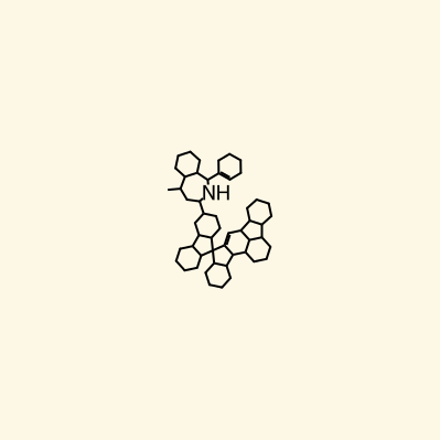 CC1CC(C2CCC3C(C2)C2CCCCC2C32C3=CC4C5CCCCC5C5CCCC(C3C3CCCCC32)C45)NC(C2=CCCCC2)C2CCCCC12